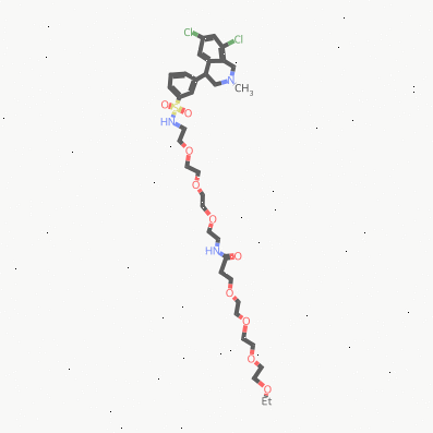 CCOCCOCCOCCOCCC(=O)NCCOCCOCCOCCNS(=O)(=O)c1cccc(C2CN(C)Cc3c(Cl)cc(Cl)cc32)c1